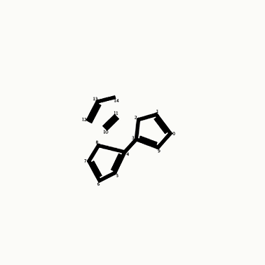 C1=CCC(C2=CC=CC2)=C1.C=C.C=CC